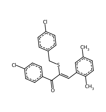 Cc1ccc(C)c(C=C(SCc2ccc(Cl)cc2)C(=O)c2ccc(Cl)cc2)c1